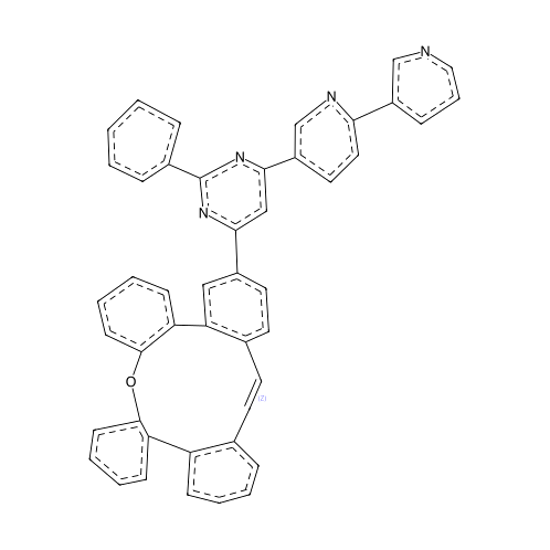 C1=C\c2ccc(-c3cc(-c4ccc(-c5cccnc5)nc4)nc(-c4ccccc4)n3)cc2-c2ccccc2Oc2ccccc2-c2ccccc2/1